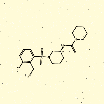 NCc1c(Cl)cccc1S(=O)(=O)N1CCC[C@H](NC(=O)N2CCCCC2)C1